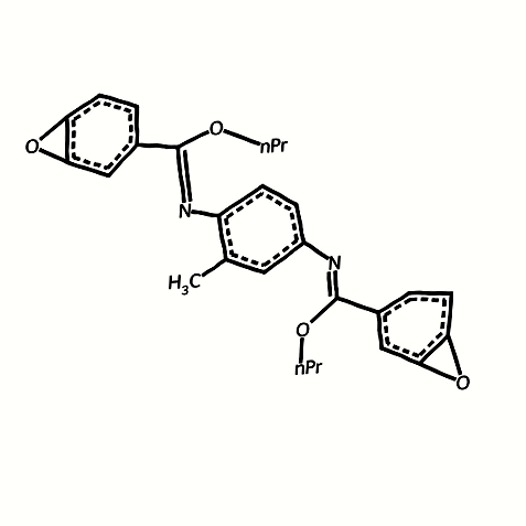 CCCOC(=Nc1ccc(N=C(OCCC)c2ccc3c(c2)O3)c(C)c1)c1ccc2c(c1)O2